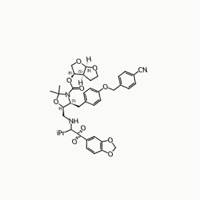 CC(C)C(NC[C@H]1OC(C)(C)N(C(=O)O[C@H]2CO[C@H]3OCC[C@H]32)[C@H]1Cc1ccc(OCc2ccc(C#N)cc2)cc1)S(=O)(=O)c1ccc2c(c1)OCO2